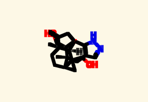 C=C1CC[C@H]2C3(CO)C[C@]3([C@@]3(C)Cc4cn[nH]c4C[C@@H]3CO)CC[C@]12C